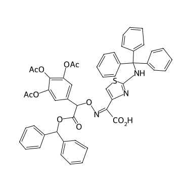 CC(=O)Oc1cc(C(ON=C(C(=O)O)c2csc(NC(c3ccccc3)(c3ccccc3)c3ccccc3)n2)C(=O)OC(c2ccccc2)c2ccccc2)cc(OC(C)=O)c1OC(C)=O